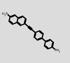 Pc1ccc(-c2ccc(C#Cc3ccc4cc(P)ccc4c3)cc2)cc1